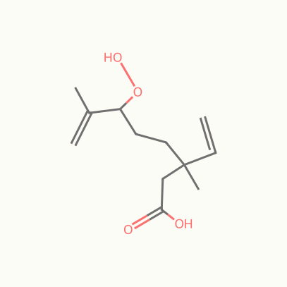 C=CC(C)(CCC(OO)C(=C)C)CC(=O)O